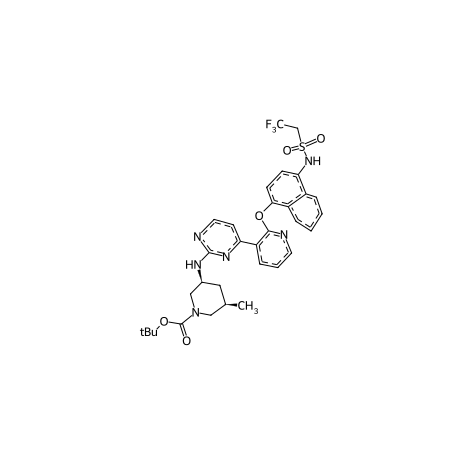 C[C@@H]1C[C@H](Nc2nccc(-c3cccnc3Oc3ccc(NS(=O)(=O)CC(F)(F)F)c4ccccc34)n2)CN(C(=O)OC(C)(C)C)C1